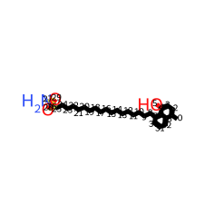 Cc1ccc(O)c2c(CCCCCCCCCCCCCCCCCCS(N)(=O)=O)cccc12